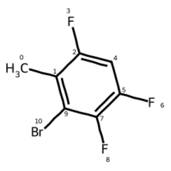 Cc1c(F)cc(F)c(F)c1Br